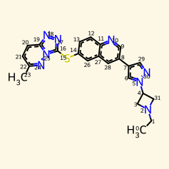 CCN1CC(n2cc(-c3cnc4ccc(Sc5nnc6ccc(C)nn56)cc4c3)cn2)C1